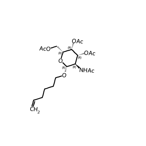 C=CCCCCO[C@@H]1O[C@H](COC(C)=O)[C@H](OC(C)=O)[C@H](OC(C)=O)[C@H]1NC(C)=O